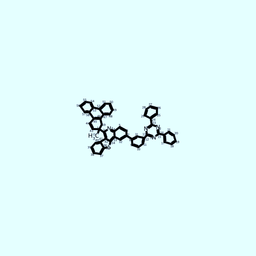 CC1(c2nc3ccc(-c4cccc(-c5nc(-c6ccccc6)nc(-c6ccccc6)n5)c4)cc3c3sc4ccccc4c23)C=Cc2c(c3ccccc3c3ccccc23)C1